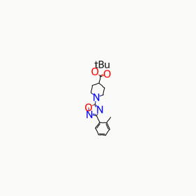 Cc1ccccc1-c1noc(N2CCC(C(=O)OC(C)(C)C)CC2)n1